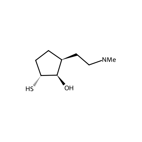 CNCC[C@@H]1CC[C@@H](S)[C@@H]1O